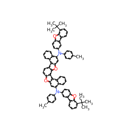 Cc1ccc(N(c2ccc3oc4c(C(C)(C)C)cccc4c3c2)c2cc3oc4c(ccc5oc6cc(N(c7ccc(C)cc7)c7ccc8oc9c(C(C)(C)C)cccc9c8c7)c7ccccc7c6c54)c3c3ccccc23)cc1